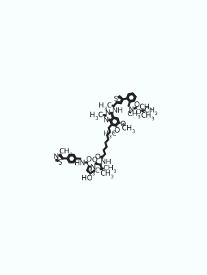 COc1cc2c(NC(C)c3cc(-c4ccccc4CN(C)C(=O)OC(C)(C)C)cs3)nc(C)nc2c(CCCCCCCCC(=O)NC(C(=O)N2C[C@H](O)C[C@H]2C(=O)NCc2ccc(-c3scnc3C)cc2)C(C)(C)C)c1OC